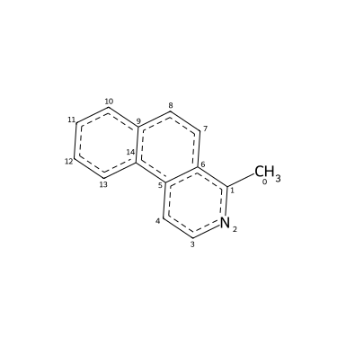 Cc1nccc2c1ccc1ccccc12